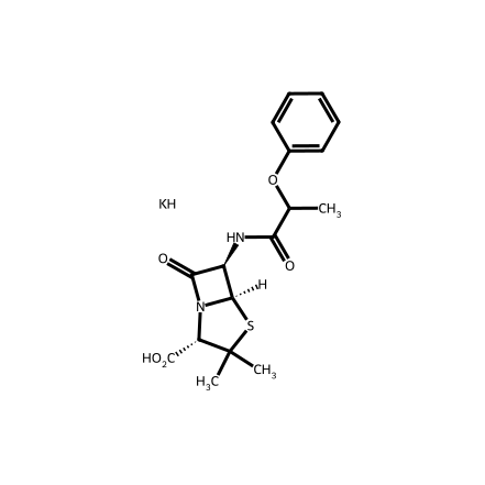 CC(Oc1ccccc1)C(=O)N[C@@H]1C(=O)N2[C@@H]1SC(C)(C)[C@@H]2C(=O)O.[KH]